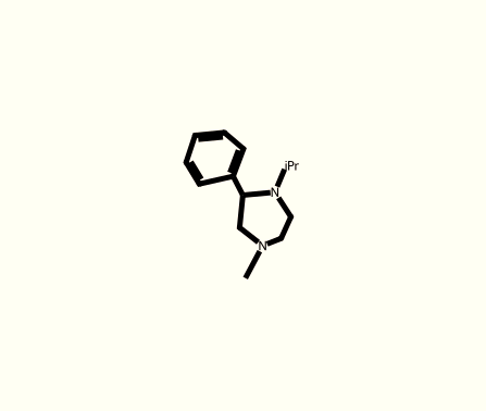 CC(C)N1CCN(C)CC1c1ccccc1